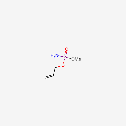 C=CCOP(N)(=O)OC